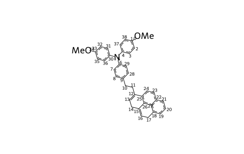 COc1ccc(N(c2ccc(CCC3=CCC4=CCc5cccc6ccc3c4c56)cc2)c2ccc(OC)cc2)cc1